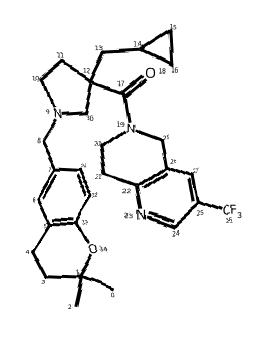 CC1(C)CCc2cc(CN3CCC(CC4CC4)(C(=O)N4CCc5ncc(C(F)(F)F)cc5C4)C3)ccc2O1